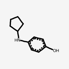 Oc1ccc(NC2CCCC2)cc1